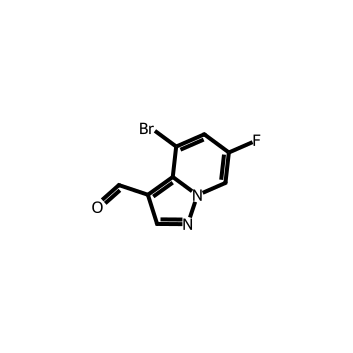 O=Cc1cnn2cc(F)cc(Br)c12